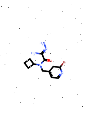 N/N=C(\N)C(=O)N(CC1=CC=NC(Br)C1)C1CCC1